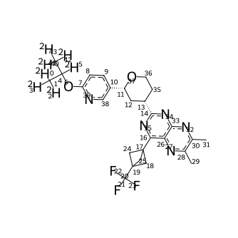 [2H]C([2H])([2H])C([2H])(Oc1ccc([C@H]2C[C@@H](c3nc(C45CC(C(F)(F)F)(C4)C5)c4nc(C)c(C)nc4n3)CCO2)cn1)C([2H])([2H])[2H]